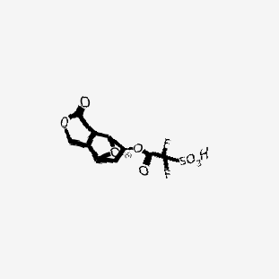 O=C1OCC2C3C[C@H](OC(=O)C(F)(F)S(=O)(=O)O)C(O3)C12